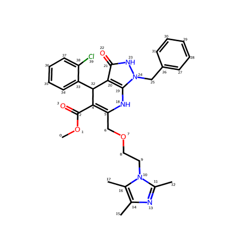 COC(=O)C1=C(COCCn2c(C)nc(C)c2C)Nc2c(c(=O)[nH]n2Cc2ccccc2)C1c1ccccc1Cl